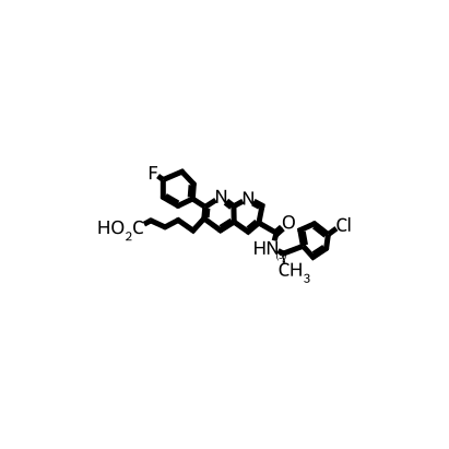 C[C@H](NC(=O)c1cnc2nc(C3=CCC(F)C=C3)c(CCCCC(=O)O)cc2c1)c1ccc(Cl)cc1